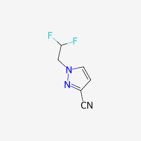 N#Cc1ccn(CC(F)F)n1